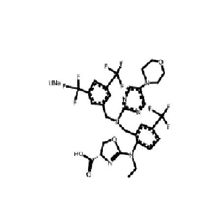 CCN(C1=N[C@H](C(=O)O)CO1)c1ccc(C(F)(F)F)cc1CN(Cc1cc(C(F)(F)F)cc(C(F)(F)F)c1)c1ncc(N2CCOCC2)cn1.[NaH]